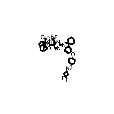 O=C(NC1(C(=O)O)C2CC3CC(C2)CC1C3)c1cnc(N2CC3(CCCCC3)c3cc(O[C@H]4CC[C@H](ON=C5CC(F)(F)C5)CC4)ccc32)nc1C(F)(F)F